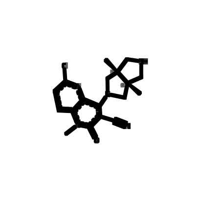 Cn1c(=O)c(C#N)c(N2C[C@]3(C)CNC[C@]3(C)C2)c2nc(Cl)ccc21